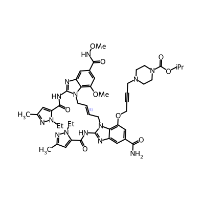 CCn1nc(C)cc1C(=O)Nc1nc2cc(C(=O)NOC)cc(OC)c2n1C/C=C/Cn1c(NC(=O)c2cc(C)nn2CC)nc2cc(C(N)=O)cc(OCC#CCN3CCN(C(=O)OC(C)C)CC3)c21